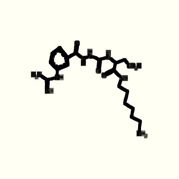 N=C(N)Nc1cccc(C(=O)NNC(=O)NC(CC(=O)O)C(=O)NCCCCCCN)c1